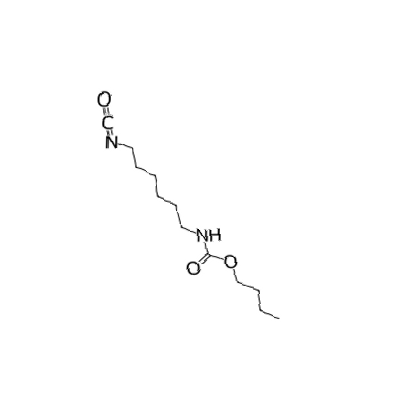 CCCCOC(=O)NCCCCCCN=C=O